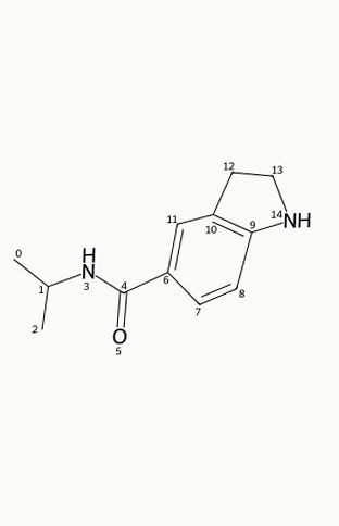 CC(C)NC(=O)c1ccc2c(c1)CCN2